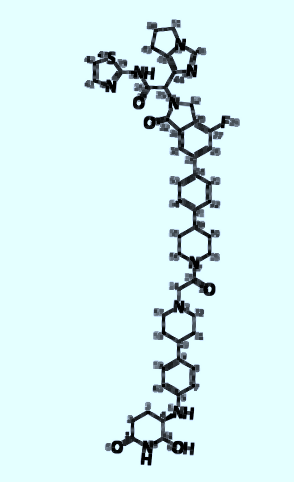 O=C1CC[C@@H](Nc2ccc(C3CCN(CC(=O)N4CCC(c5ccc(-c6cc(F)c7c(c6)C(=O)N(C(C(=O)Nc6nccs6)c6ncn8c6CCC8)C7)cc5)CC4)CC3)cc2)C(O)N1